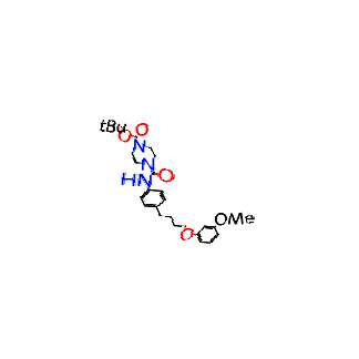 COc1cccc(OCCCCc2ccc(NC(=O)N3CCN(C(=O)OC(C)(C)C)CC3)cc2)c1